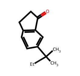 CCC(C)(C)c1ccc2c(c1)C(=O)CC2